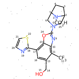 O=C(O)N1C2CCC1CN(c1nc3c(C(F)(F)F)c(CO)cc(-c4nccs4)c3o1)C2